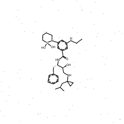 CCNc1cc(C(=O)N[C@@H](Cc2ccccc2)[C@@H](O)CNC2(CC(C)C)CC2)cc(N2CCCCS2(O)O)c1